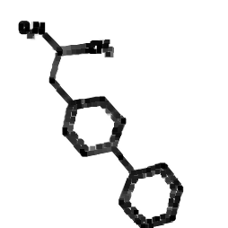 C=C(Cc1ccc(-c2ccccc2)cc1)[N+](=O)[O-]